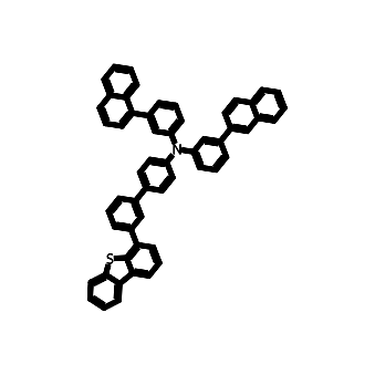 c1cc(-c2ccc(N(c3cccc(-c4ccc5ccccc5c4)c3)c3cccc(-c4cccc5ccccc45)c3)cc2)cc(-c2cccc3c2sc2ccccc23)c1